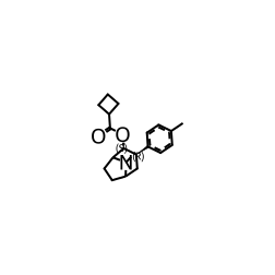 Cc1ccc([C@H]2CC3CCC([C@H]2OC(=O)C2CCC2)N3C)cc1